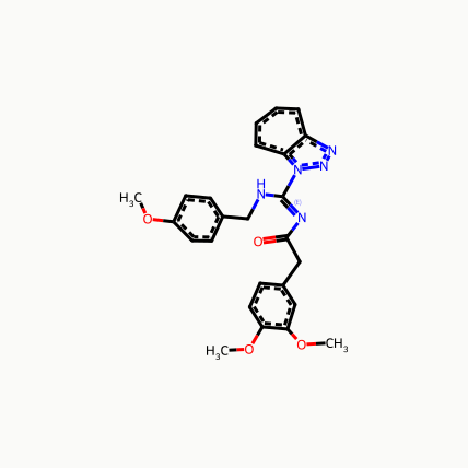 COc1ccc(CN/C(=N\C(=O)Cc2ccc(OC)c(OC)c2)n2nnc3ccccc32)cc1